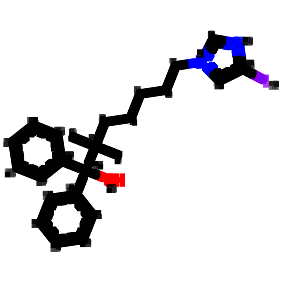 CC(C)(CCCCCn1cnc(I)c1)[Si](O)(c1ccccc1)c1ccccc1